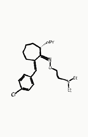 CCC[C@H]1CCCCC(=Cc2ccc(Cl)cc2)C1=NOCCN(CC)CC